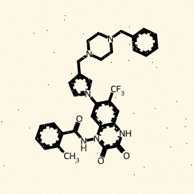 Cc1ccccc1C(=O)Nn1c(=O)c(=O)[nH]c2cc(C(F)(F)F)c(-n3ccc(CN4CCN(Cc5ccccc5)CC4)c3)cc21